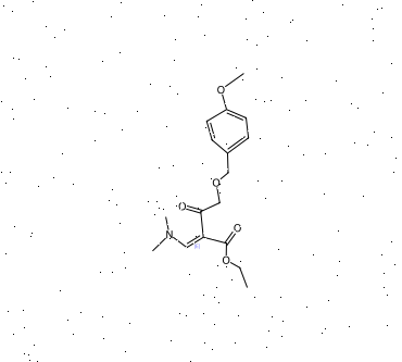 CCOC(=O)/C(=C/N(C)C)C(=O)COCc1ccc(OC)cc1